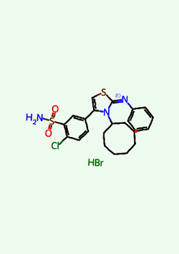 Br.NS(=O)(=O)c1cc(-c2cs/c(=N/c3ccccc3)n2C2CCCCCCC2)ccc1Cl